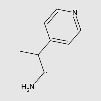 CC([CH]N)c1ccncc1